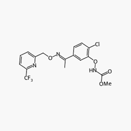 COC(=O)NOc1cc(/C(C)=N/OCc2cccc(C(F)(F)F)n2)ccc1Cl